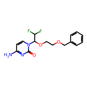 Nc1ccn(C(OCCOCc2ccccc2)C(F)F)c(=O)n1